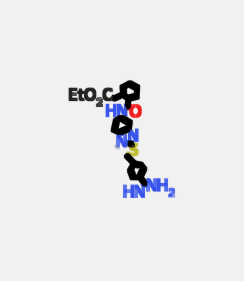 CCOC(=O)Cc1ccccc1C(=O)Nc1ccc2c(c1)nc(SCc1ccc(C(=N)N)cc1)n2C